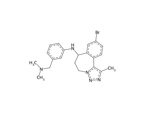 Cc1nnn2c1-c1ccc(Br)cc1C(Nc1cccc(CN(C)C)c1)CC2